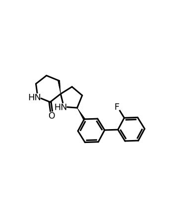 O=C1NCCC[C@]12CC[C@@H](c1cccc(-c3ccccc3F)c1)N2